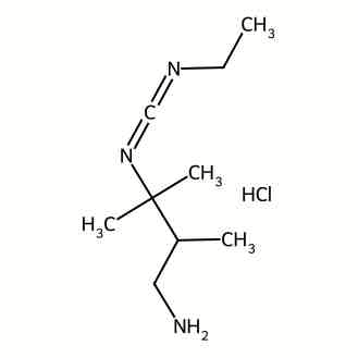 CCN=C=NC(C)(C)C(C)CN.Cl